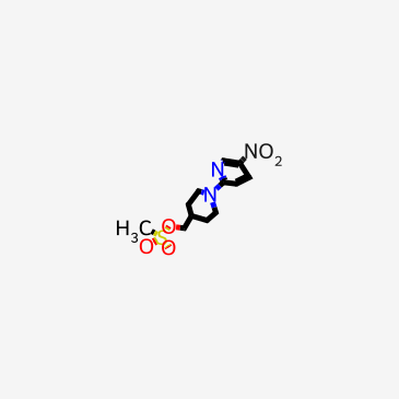 CS(=O)(=O)OCC1CCN(c2ccc([N+](=O)[O-])cn2)CC1